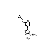 C[C@H](N)c1nc(-c2ccnc(OCC3CC3)c2)no1